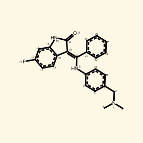 CN(C)Cc1ccc(NC(=C2C(=O)Nc3cc(F)ccc32)c2ccccc2)cc1